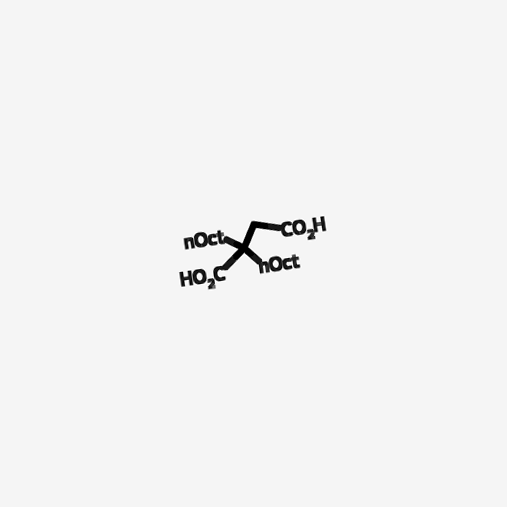 CCCCCCCCC(CCCCCCCC)(CC(=O)O)C(=O)O